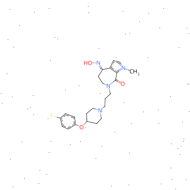 Cn1ccc2c1C(=O)N(CCCN1CCC(Oc3ccc(F)cc3)CC1)CCC2=NO